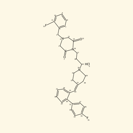 Cl.O=C1CN(Cc2ccccc2F)CC(=O)N1CCCN1CCC(=Cc2ccccc2-c2ccc(F)cc2)CC1